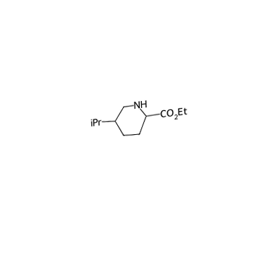 CCOC(=O)C1CCC(C(C)C)CN1